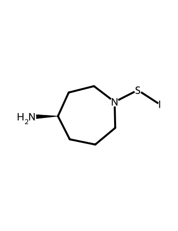 N[C@@H]1CCCN(SI)CC1